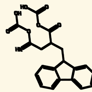 N=C(CC(CC1c2ccccc2-c2ccccc21)C(=O)OC(=O)O)OC(=O)O